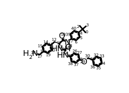 CC(C)(C)c1ccc(NC(=O)[C@H](Cc2ccc(CN)cc2)NC(=O)Nc2ccc(OCc3ccccc3)cc2)cc1